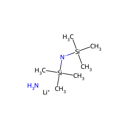 C[Si](C)(C)[N-][Si](C)(C)C.N.[Li+]